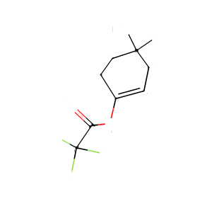 CC1(C)CC=C(OC(=O)C(F)(F)F)CC1